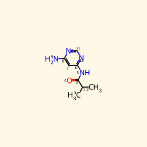 CC(C)C(=O)Nc1cc(N)ncn1